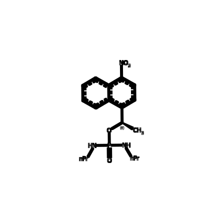 CCCNP(=O)(NCCC)O[C@H](C)c1ccc([N+](=O)[O-])c2ccccc12